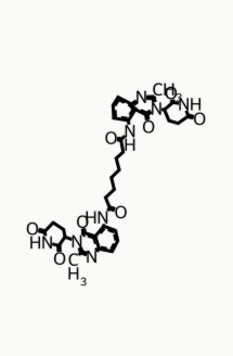 Cc1nc2cccc(NC(=O)CCCCCCC(=O)Nc3cccc4nc(C)n(C5CCC(=O)NC5=O)c(=O)c34)c2c(=O)n1C1CCC(=O)NC1=O